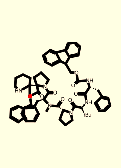 CC[C@H](C)[C@H](NC(=O)[C@@H](Cc1ccccc1)NC(=O)OCC1c2ccccc2-c2ccccc21)C(=O)N1CCC[C@@H]1C(=O)N(C)[C@@H](Cc1ccccc1)C(=O)N1CCC[C@]1(C(=O)OCc1ccccc1)C1(C)CCCCN1